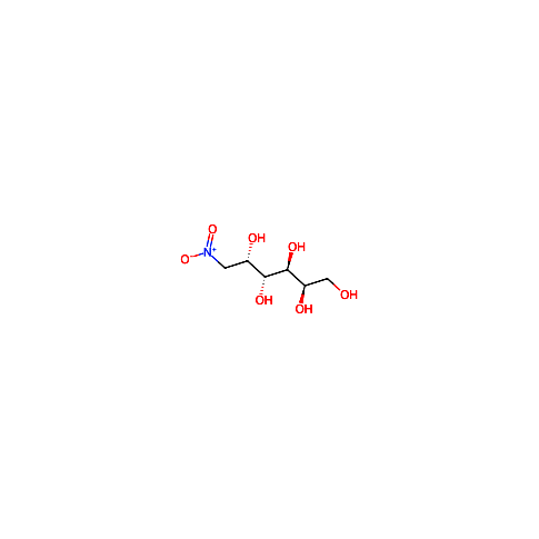 O=[N+]([O-])C[C@H](O)[C@@H](O)[C@@H](O)[C@H](O)CO